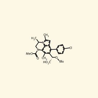 COC(=O)N1CC(C)n2c(C)cc3c(-c4ccc(Cl)cc4)c([C@H](OC(C)(C)C)C(=O)O)c(C)c1c32